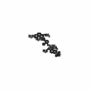 CCN1/C(=C/C=C2\CCC(/C=C/C3=[N+](CC)c4ccc5cc(S(=O)(=O)[O-])ccc5c4C3(C)C)=C2Cl)C(C)(C)c2c1ccc1cc(C)ccc21